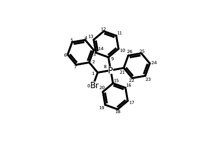 BrC(c1ccccc1)[P](c1ccccc1)(c1ccccc1)c1ccccc1